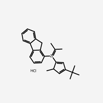 C[C](C)=[Zr]([C]1=CC(C(C)(C)C)=CC1C)[c]1cccc2c1Cc1ccccc1-2.Cl